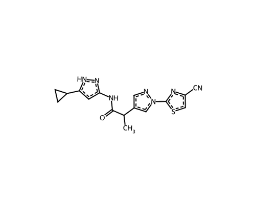 CC(C(=O)Nc1cc(C2CC2)[nH]n1)c1cnn(-c2nc(C#N)cs2)c1